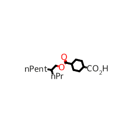 CCCCCC(CCC)COC(=O)C1CCC(C(=O)O)CC1